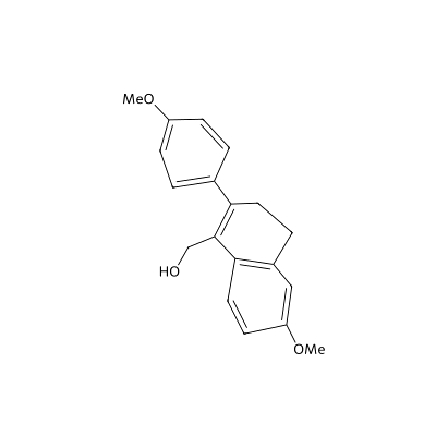 COc1ccc(C2=C(CO)c3ccc(OC)cc3CC2)cc1